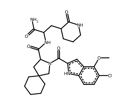 COc1c(Cl)ccc2[nH]c(C(=O)N3CC4(CCCCC4)CC3C(=O)NC(CC3CCCNC3=O)C(N)=O)cc12